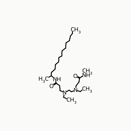 CCCCCCCCCCCCCC(C)NC(=O)CCN(CC)CCN(CC)CCC(=O)NC